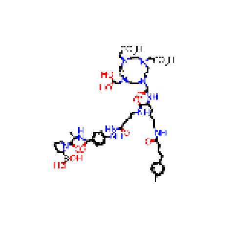 Cc1ccc(CCCC(=O)NCCCCC(NC(=O)CN2CCN(CC(=O)O)CCN(CC(=O)O)CCN(CC(O)O)CC2)C(=O)NCCCC(=O)NNc2ccc(C(=O)N[C@H](C)C(=O)N3CCC[C@H]3B(O)O)cc2)cc1